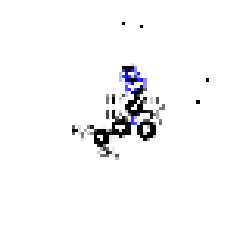 Cc1cc(C)cc(-c2ccc(N(c3ccccc3)c3c(C)c(C)c(-c4cnc5nccnc5n4)c(C)c3C)cc2)c1